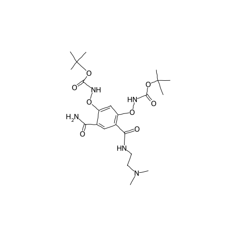 CN(C)CCNC(=O)c1cc(C(N)=O)c(ONC(=O)OC(C)(C)C)cc1ONC(=O)OC(C)(C)C